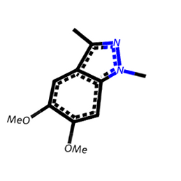 COc1cc2c(C)nn(C)c2cc1OC